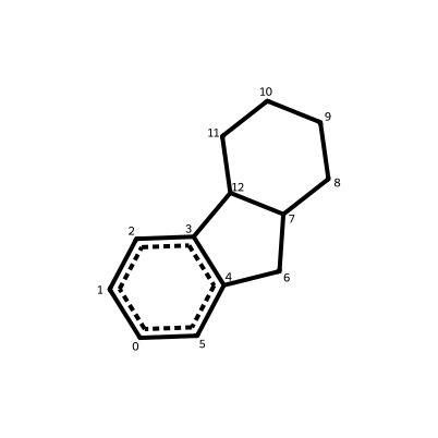 c1ccc2c(c1)CC1CCCCC21